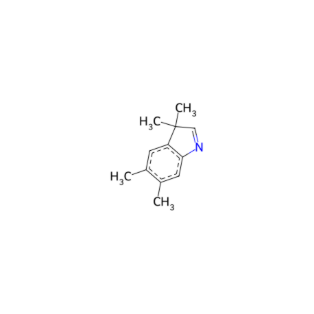 Cc1cc2c(cc1C)C(C)(C)C=N2